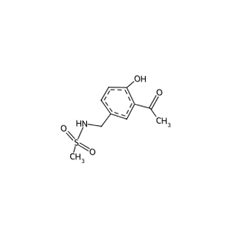 CC(=O)c1cc(CNS(C)(=O)=O)ccc1O